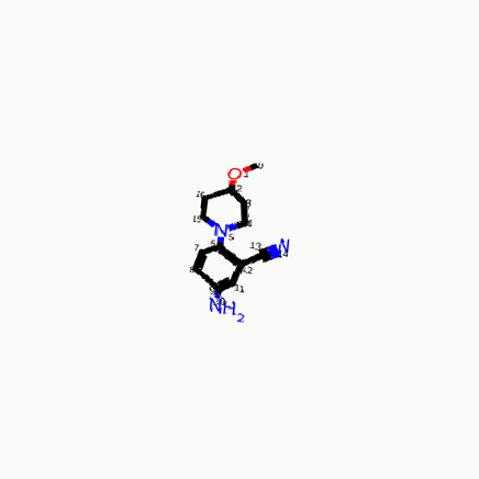 COC1CCN(c2ccc(N)cc2C#N)CC1